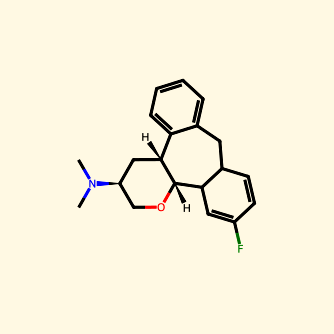 CN(C)[C@@H]1CO[C@H]2C3C=C(F)C=CC3Cc3ccccc3[C@H]2C1